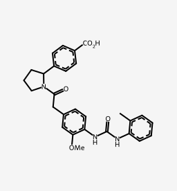 COc1cc(CC(=O)N2CCCC2c2ccc(C(=O)O)cc2)ccc1NC(=O)Nc1ccccc1C